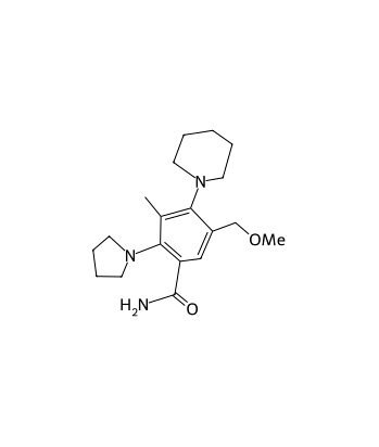 COCc1cc(C(N)=O)c(N2CCCC2)c(C)c1N1CCCCC1